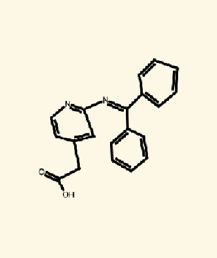 O=C(O)Cc1ccnc(N=C(c2ccccc2)c2ccccc2)c1